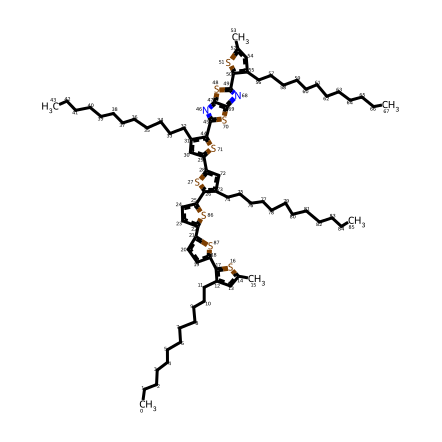 CCCCCCCCCCCCc1cc(C)sc1-c1ccc(-c2ccc(-c3sc(-c4cc(CCCCCCCCCCCC)c(-c5nc6sc(-c7sc(C)cc7CCCCCCCCCCCC)nc6s5)s4)cc3CCCCCCCCCCCC)s2)s1